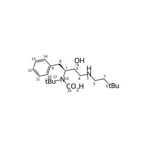 CC(C)(C)CCNC[C@@H](O)[C@H](Cc1ccccc1)N(C(=O)O)C(C)(C)C